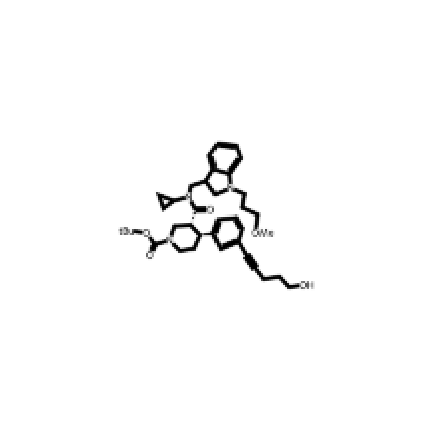 COCCCN1CC(CN(C(=O)[C@H]2CN(C(=O)OC(C)(C)C)CC[C@@H]2c2cccc(C#CCCCO)c2)C2CC2)c2ccccc21